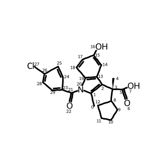 Cc1c([C@](C)(C(=O)O)C2CCCC2)c2cc(O)ccc2n1C(=O)c1ccc(Cl)cc1